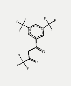 O=C(CC(=O)C(F)(F)F)c1cc(C(F)(F)F)cc(C(F)(F)F)c1